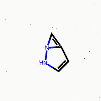 C1=CC2=CN2N1